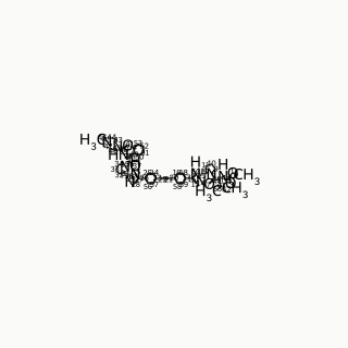 COC(=O)N[C@H](C(=O)N1CCC[C@H]1c1ncc(-c2ccc(C#Cc3ccc(-c4cnc([C@@H]5CCCN5C(=O)[C@H](NC(=O)N5CCN(C)CC5)c5ccccc5)[nH]4)cc3)cc2)[nH]1)C(C)C